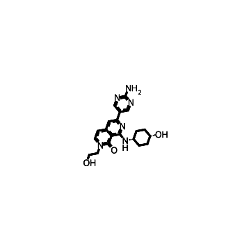 Nc1ncc(-c2cc3ccn(CCO)c(=O)c3c(N[C@H]3CC[C@@H](O)CC3)n2)cn1